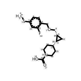 CSc1ccc(COC[C@@H]2C[C@@H]2C2CCN(C(=O)O)CC2)c(F)c1